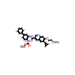 COCCOc1cc2ncc(C(=O)Nc3cc(-c4ccccc4)ccc3NC(=O)OC(C)(C)C)cc2cc1C1CC1